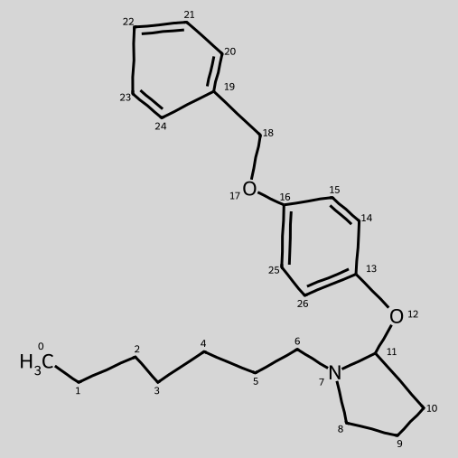 CCCCCCCN1CCCC1Oc1ccc(OCc2ccccc2)cc1